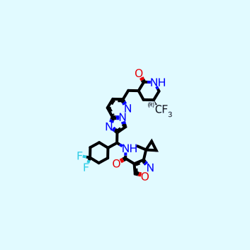 CC1(c2nocc2C(=O)NC(c2cn3nc(CC4C[C@@H](C(F)(F)F)CNC4=O)ccc3n2)C2CCC(F)(F)CC2)CC1